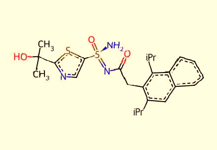 CC(C)c1cc2ccccc2c(C(C)C)c1CC(=O)N=[S@@](N)(=O)c1cnc(C(C)(C)O)s1